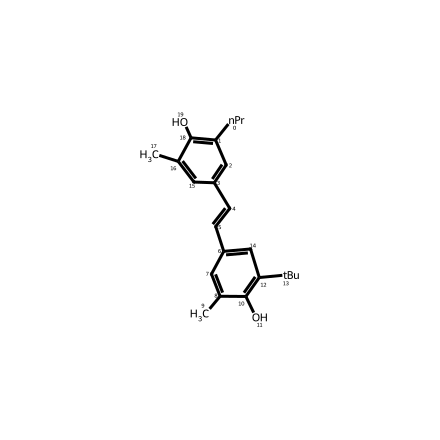 CCCc1cc(C=Cc2cc(C)c(O)c(C(C)(C)C)c2)cc(C)c1O